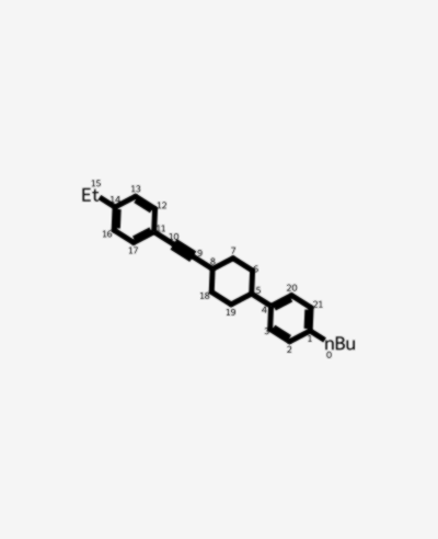 CCCCc1ccc(C2CCC(C#Cc3ccc(CC)cc3)CC2)cc1